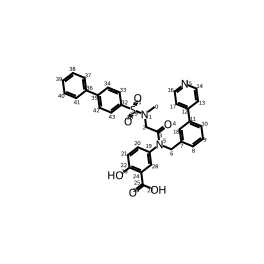 CN(CC(=O)N(Cc1cccc(-c2ccncc2)c1)c1ccc(O)c(C(=O)O)c1)S(=O)(=O)c1ccc(-c2ccccc2)cc1